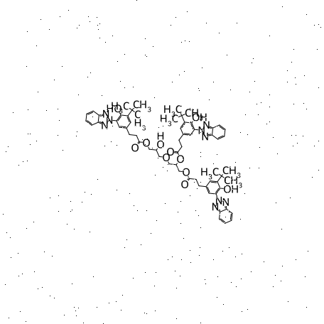 CC(C)(C)c1cc(CCC(=O)OCC(O)COCC(COC(=O)CCc2cc(-n3nc4ccccc4n3)c(O)c(C(C)(C)C)c2)OC(=O)CCc2cc(-n3nc4ccccc4n3)c(O)c(C(C)(C)C)c2)cc(-n2nc3ccccc3n2)c1O